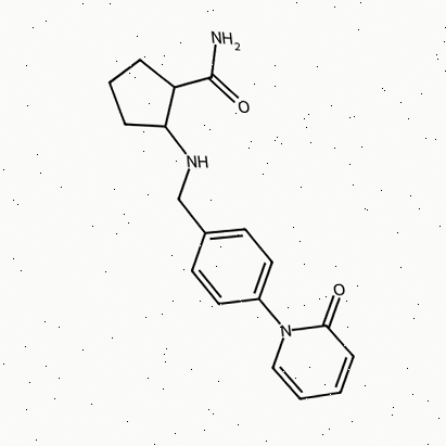 NC(=O)C1CCCC1NCc1ccc(-n2ccccc2=O)cc1